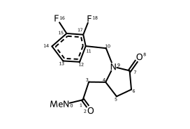 CNC(=O)CC1CCC(=O)N1Cc1cccc(F)c1F